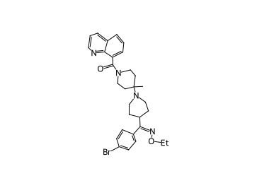 CCON=C(c1ccc(Br)cc1)C1CCN(C2(C)CCN(C(=O)c3cccc4cccnc34)CC2)CC1